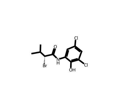 CC(C)[C@@H](Br)C(=O)Nc1cc(Cl)cc(Cl)c1O